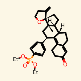 C=C1CCO[C@]12CC[C@H]1[C@@H]3CCC4=CC(=O)CCC4=C3[C@@H](c3ccc(P(=O)(OCC)OCC)cc3)C[C@@]12C